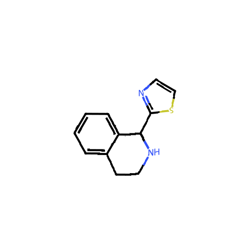 c1ccc2c(c1)CCNC2c1nccs1